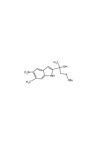 CCCCSCC(C)(O)c1cc2cc([N+](=O)[O-])c(C)cc2[nH]1